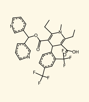 CCC1=C(C(=O)O)C(c2ccc(C(F)(F)F)cc2C(F)(F)F)C(C(=O)OC(c2cccnc2)c2cccnc2)=C(CC)N1C